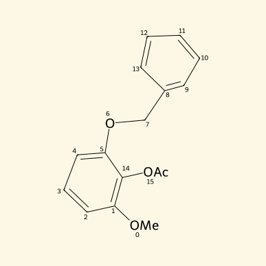 COc1cccc(OCc2ccccc2)c1OC(C)=O